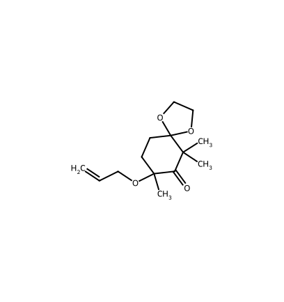 C=CCOC1(C)CCC2(OCCO2)C(C)(C)C1=O